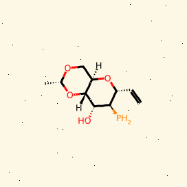 C=C[C@H]1O[C@@H]2CO[C@@H](C)O[C@H]2[C@@H](O)[C@@H]1P